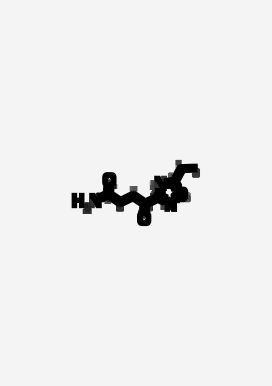 CCc1nc(C(=O)[CH]CC(N)=O)no1